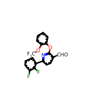 O=Cc1ccc(-c2cccc(F)c2F)nc1Oc1ccccc1OC(F)(F)F